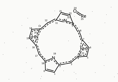 C1=Cc2cc3ccc(cc4nc(cc5ccc(cc1n2)[nH]5)C=C4)[nH]3.[O]=[Re]